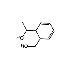 CC(O)C1C=CC=CC1CO